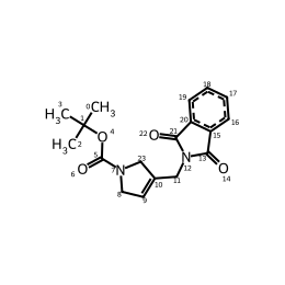 CC(C)(C)OC(=O)N1CC=C(CN2C(=O)c3ccccc3C2=O)C1